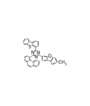 Cc1ccc2c(c1)oc1cc(-c3nc(-c4cccc5c4sc4ccccc45)nc(-c4cccc5ccc6ccccc6c45)n3)ccc12